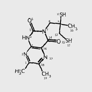 Cc1nc2[nH]c(=O)n(CC(C)(S)CS)c(=O)c2nc1C